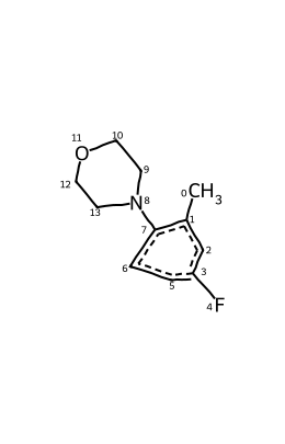 Cc1cc(F)ccc1N1CCOCC1